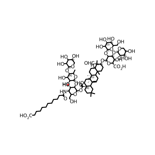 CC1O[C@@H](OC2C(O)[C@@H](NC(=O)CCCCCCCCCCC(=O)O)C(CO)O[C@@H]2OC(=O)[C@]23CCC(C)(C)CC2C2=CCC4C5(C)CC[C@H](O[C@@H]6OC(C(=O)O)[C@@H](O)[C@H](O[C@@H]7OC[C@@H](O)[C@@H](O)C7O)C6O[C@@H]6OC(CO)[C@@H](O)[C@H](O)C6O)[C@](C)(C=O)[C@@H]5CC[C@]4(C)[C@]2(C)CC3O)C(O)C(O)[C@H]1O[C@@H]1OC[C@@H](O)C(O)C1O